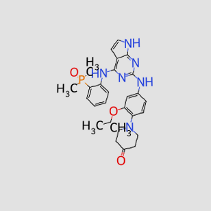 CC(C)Oc1cc(Nc2nc(Nc3ccccc3P(C)(C)=O)c3cc[nH]c3n2)ccc1N1CCC(=O)CC1